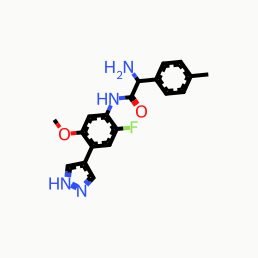 COc1cc(NC(=O)C(N)c2ccc(C)cc2)c(F)cc1-c1cn[nH]c1